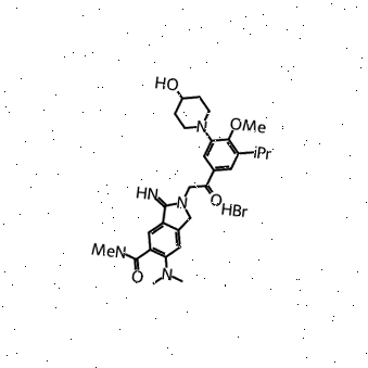 Br.CNC(=O)c1cc2c(cc1N(C)C)CN(CC(=O)c1cc(C(C)C)c(OC)c(N3CCC(O)CC3)c1)C2=N